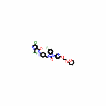 O=C(NC1CCC(Cn2c(=O)n(-c3ccc(OCCOC4CCCCO4)nc3)c3ccc(F)cc32)CC1)c1cc(Cl)cnc1C(F)F